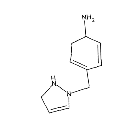 NC1C=CC(CN2C=CCN2)=CC1